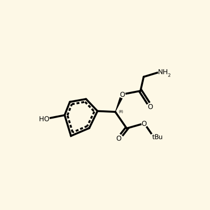 CC(C)(C)OC(=O)[C@H](OC(=O)CN)c1ccc(O)cc1